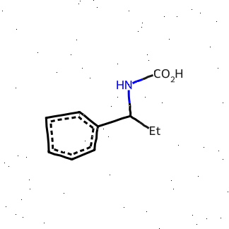 [CH2]CC(NC(=O)O)c1ccccc1